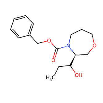 CCC(O)[C@@H]1COCCCN1C(=O)OCc1ccccc1